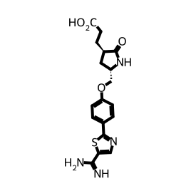 N=C(N)c1cnc(-c2ccc(OC[C@@H]3C[C@@H](CCC(=O)O)C(=O)N3)cc2)s1